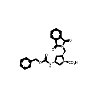 O=C(N[C@@H]1C[C@@H](CN2C(=O)c3ccccc3C2=O)N(C(=O)O)C1)OCc1ccccc1